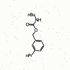 CCCCNC(=O)OCc1cccc(CCC)c1